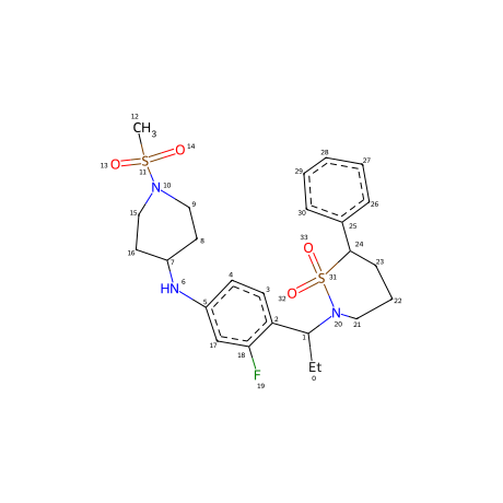 CCC(c1ccc(NC2CCN(S(C)(=O)=O)CC2)cc1F)N1CCCC(c2ccccc2)S1(=O)=O